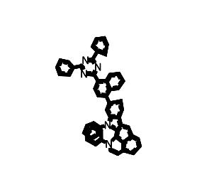 C1=CN(c2ccccc2)c2c3c1cccc3cc1c3ccc(-c4ccc(-c5nc(-c6ccccc6)nc(-c6ccccc6)n5)c5ccccc45)cc3n(-c3ccccc3)c21